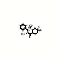 CN(C(=O)C1CCC(F)(F)CC1)[C@@H](CO)c1ccccc1